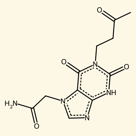 CC(=O)CCn1c(=O)[nH]c2ncn(CC(N)=O)c2c1=O